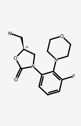 [N]C[C@H]1CN(c2cccc(F)c2N2CCOCC2)C(=O)O1